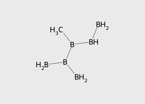 BBB(C)B(B)B